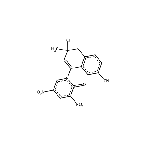 CC1(C)C=C(n2cc([N+](=O)[O-])cc([N+](=O)[O-])c2=O)c2cc(C#N)ccc2C1